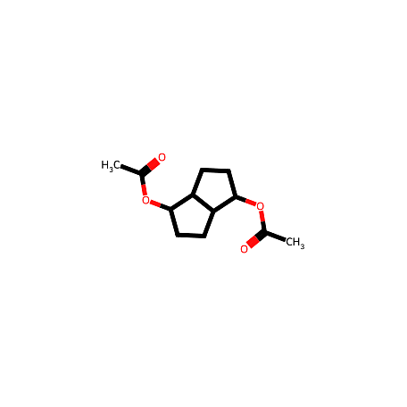 CC(=O)OC1CCC2C(OC(C)=O)CCC12